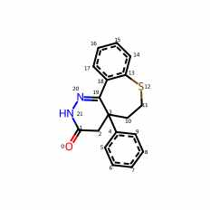 O=C1CC2(c3ccccc3)CCSc3ccccc3C2=NN1